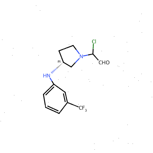 O=CC(Cl)N1CC[C@@H](Nc2cccc(C(F)(F)F)c2)C1